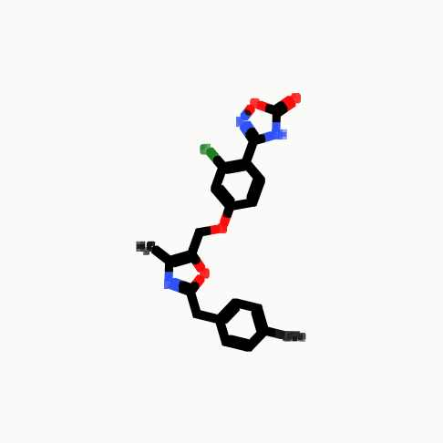 COc1ccc(Cc2nc(C)c(COc3ccc(-c4noc(=O)[nH]4)c(Cl)c3)o2)cc1